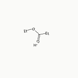 CCOC(=O)CC.[H+]